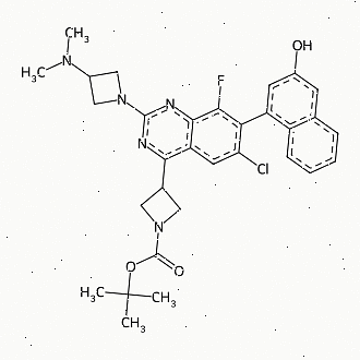 CN(C)C1CN(c2nc(C3CN(C(=O)OC(C)(C)C)C3)c3cc(Cl)c(-c4cc(O)cc5ccccc45)c(F)c3n2)C1